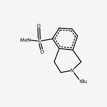 CNS(=O)(=O)c1cccc2c1CCN(C(C)(C)C)C2